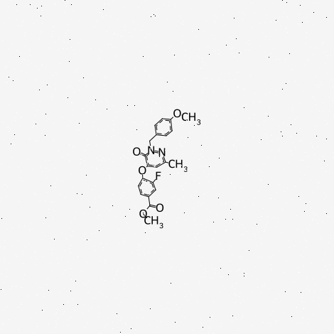 COC(=O)c1ccc(Oc2cc(C)nn(Cc3ccc(OC)cc3)c2=O)c(F)c1